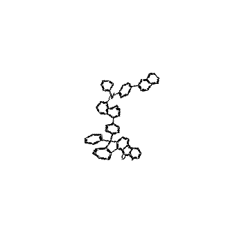 c1ccc(N(c2ccc(-c3ccc4ccccc4c3)cc2)c2cccc3c(-c4ccc(C5(c6ccccc6)c6ccccc6-c6c5ccc5c6oc6ccccc65)cc4)cccc23)cc1